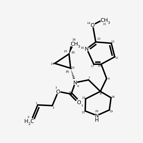 C=CCOC(=O)N(CC1(Cc2ccc(OC)nc2)CCNCC1)[C@@H]1C[C@H]1C